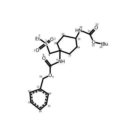 CCS(=O)(=O)CC1(NC(=O)OCc2ccccc2)CCC(NC(=O)OC(C)(C)C)CC1